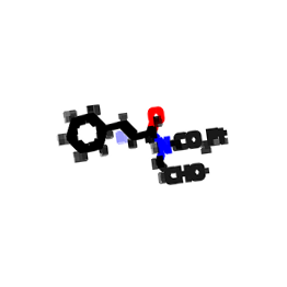 CCOC(=O)N(C[C]=O)C(=O)/C=C/c1ccccc1